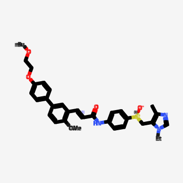 CCCCOCCOc1ccc(-c2ccc(OC)c(/C=C/C(=O)Nc3ccc([S@@+]([O-])Cc4c(C)ncn4CC)cc3)c2)cc1